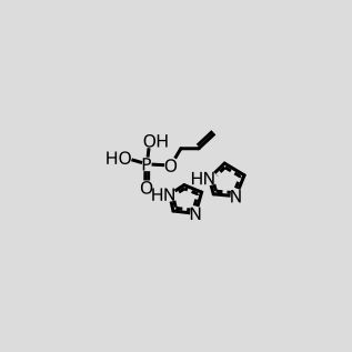 C=CCOP(=O)(O)O.c1c[nH]cn1.c1c[nH]cn1